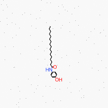 CCCCCCCCCCCCCCCCC(=O)Nc1ccc(O)cc1